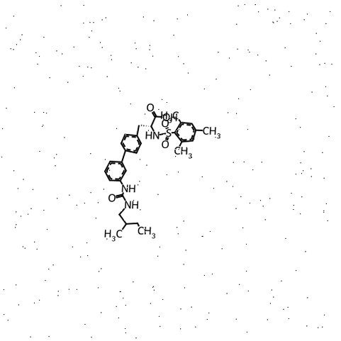 CCC(C)CNC(=O)Nc1cccc(-c2ccc(C[C@@H](NS(=O)(=O)c3c(C)cc(C)cc3C)C(=O)O)cc2)c1